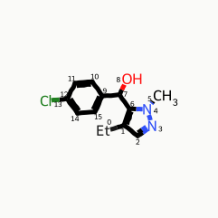 CCc1cnn(C)c1C(O)c1ccc(Cl)cc1